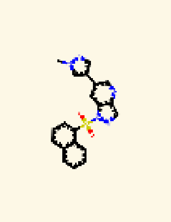 Cn1cc(-c2cnc3cnn(S(=O)(=O)c4cccc5ccccc45)c3c2)cn1